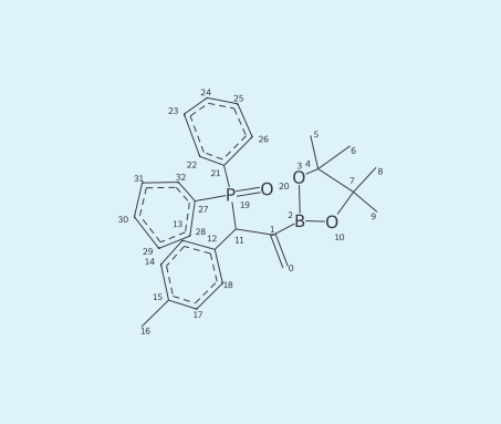 C=C(B1OC(C)(C)C(C)(C)O1)C(c1ccc(C)cc1)P(=O)(c1ccccc1)c1ccccc1